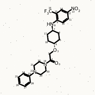 O=C(CO[C@H]1CC[C@H](Nc2ccc([N+](=O)[O-])cc2C(F)(F)F)CC1)N1CCN(c2ccccc2)CC1